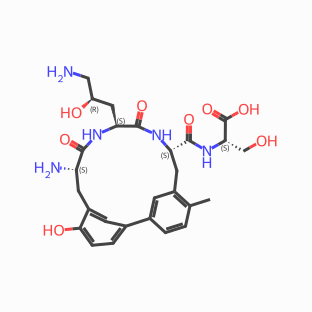 Cc1ccc2cc1C[C@@H](C(=O)N[C@@H](CO)C(=O)O)NC(=O)[C@H](C[C@@H](O)CN)NC(=O)[C@@H](N)Cc1cc-2ccc1O